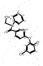 CCN(C(=O)c1ccc(Oc2cc(Cl)ccc2Cl)nc1)c1cccnc1